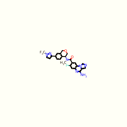 CN(C(=O)c1cc2c(cc1F)nc(N)c1cncn12)[C@@H]1COCc2cc(-c3ccn(C(F)(F)F)n3)ccc21